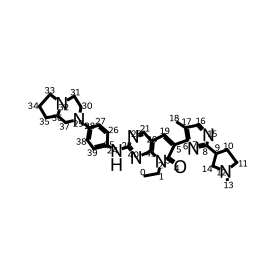 CCn1c(=O)c(-c2nc(C3CCN(C)C3)ncc2C)cc2cnc(Nc3ccc(N4CCN5CCCC5C4)cc3)nc21